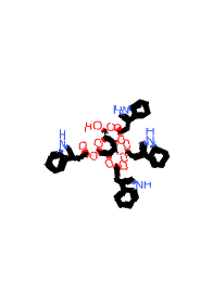 O=C(Cc1c[nH]c2ccccc12)OC1=C(OC(=O)Cc2c[nH]c3ccccc23)[C@@H](OC(=O)Cc2c[nH]c3ccccc23)[C@H](OC(=O)Cc2c[nH]c3ccccc23)[C@@H](C(=O)O)O1